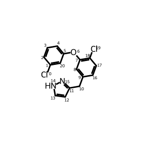 Clc1cccc(Oc2cc(Cc3cc[nH]n3)ccc2Cl)c1